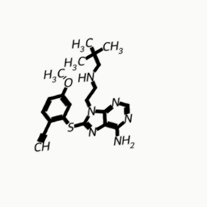 C#Cc1ccc(OC)cc1Sc1nc2c(N)ncnc2n1CCNCC(C)(C)C